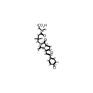 CN(CC(=O)O)C(=O)CC(C)(C)CN1C(=O)c2cc3oc(-c4ccc(Cl)cc4)cc3n2C1=S